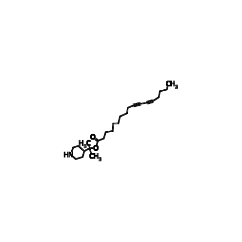 CCCCC#CC#CCCCCCCCCC(=O)OC(C)(C)C1CCNCC1